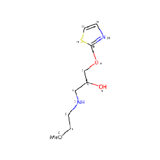 COCCNCC(O)COc1nccs1